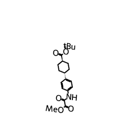 COC(=O)C(=O)Nc1ccc([C@H]2CC[C@H](C(=O)OC(C)(C)C)CC2)cc1